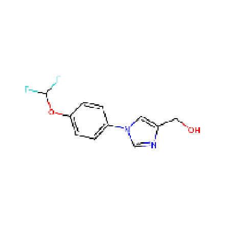 OCc1cn(-c2ccc(OC(F)F)cc2)cn1